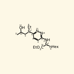 CCCCCCN(Nc1ccc(N(CC)CC(C)O)nn1)C(=O)OCC